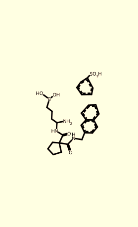 NC(CCCB(O)O)NC(=O)C1(C(=O)NCc2ccc3ccccc3c2)CCCC1.O=S(=O)(O)c1ccccc1